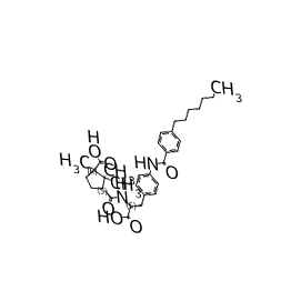 CCCCCCCc1ccc(C(=O)Nc2ccc(C[C@H](NC(=O)[C@H]3CC[C@@](C)(C(=O)O)C3(C)C)C(=O)O)cc2)cc1